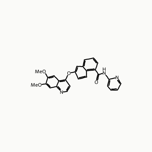 COc1cc2nccc(Oc3ccc4c(C(=O)Nc5ccccn5)cccc4c3)c2cc1OC